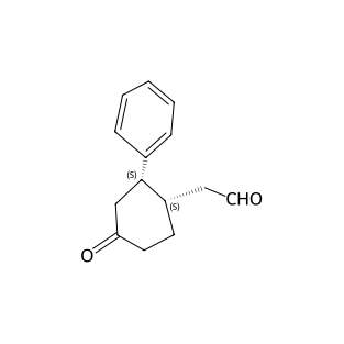 O=CC[C@@H]1CCC(=O)C[C@@H]1c1ccccc1